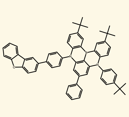 CC(C)(C)c1ccc(N2c3ccc(C(C)(C)C)cc3B3c4cc(C(C)(C)C)ccc4N(c4ccc(-c5ccc6oc7ccccc7c6c5)cc4)c4cc(-c5ccccc5)cc2c43)cc1